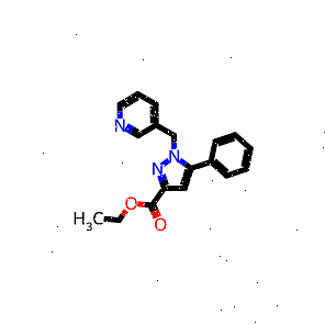 CCOC(=O)c1cc(-c2ccccc2)n(Cc2cccnc2)n1